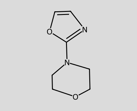 c1coc(N2CCOCC2)n1